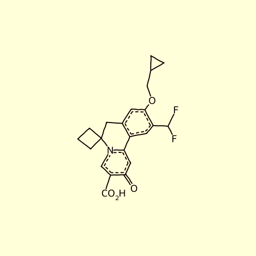 O=C(O)c1cn2c(cc1=O)-c1cc(C(F)F)c(OCC3CC3)cc1CC21CCC1